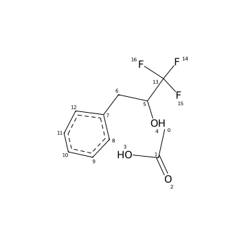 CC(=O)O.OC(Cc1ccccc1)C(F)(F)F